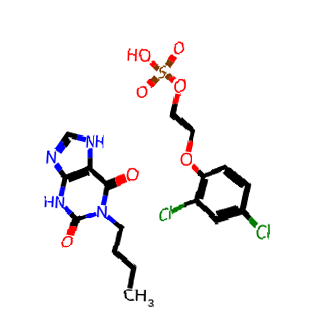 CCCCn1c(=O)[nH]c2nc[nH]c2c1=O.O=S(=O)(O)OCCOc1ccc(Cl)cc1Cl